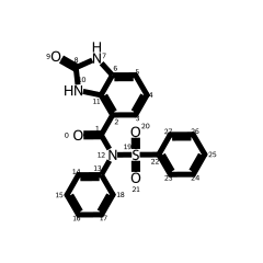 O=C(c1cccc2[nH]c(=O)[nH]c12)N(c1ccccc1)S(=O)(=O)c1ccccc1